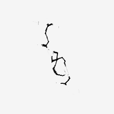 CC(C)CCC(=O)N1CC2(CCN(CC(C)C)CC2)C1